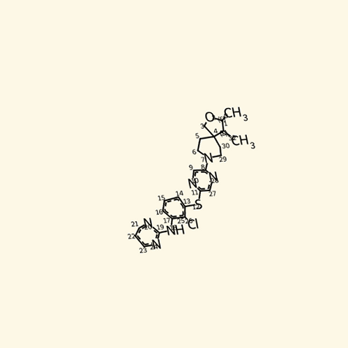 C[C@@H]1OCC2(CCN(c3cnc(Sc4cccc(Nc5ncccn5)c4Cl)cn3)CC2)[C@@H]1C